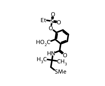 CCS(=O)(=O)Oc1cccc(C(=O)NC(C)(C)CSC)c1C(=O)O